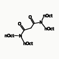 CCCCCCCCN(CCCCCCCC)C(=O)CC(=O)N(CCCCCCCC)CCCCCCCC